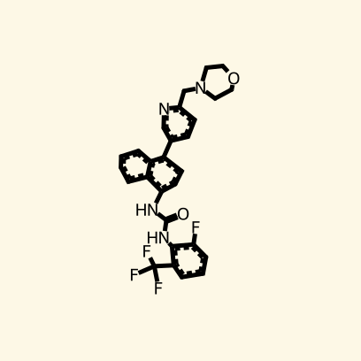 O=C(Nc1c(F)cccc1C(F)(F)F)Nc1ccc(-c2ccc(CN3CCOCC3)nc2)c2ccccc12